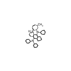 CC1C=CC=CC(N(c2ccccc2)c2c3c(c(N(c4ccccc4)c4ccccc4)c4ccccc24)C=CCC3C)C1